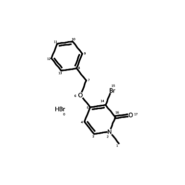 Br.Cn1ccc(OCc2ccccc2)c(Br)c1=O